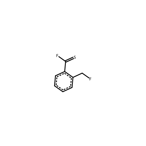 FCc1ccccc1C(F)=S